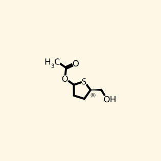 CC(=O)OC1CC[C@H](CO)S1